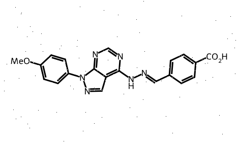 COc1ccc(-n2ncc3c(NN=Cc4ccc(C(=O)O)cc4)ncnc32)cc1